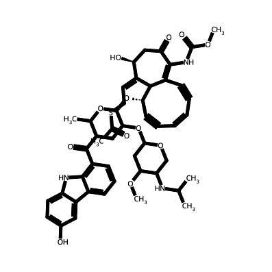 COC(=O)NC1=C2C#C/C=C\C#C[C@H](OC3OC(C)C(C(=O)c4cccc5c4[nH]c4ccc(O)cc45)CC3OC3CC(OC)C(NC(C)C)CO3)C2/C(=C\CSC(C)=O)[C@@H](O)CC1=O